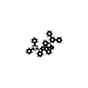 c1ccc(-c2cc(-c3ccccc3)cc(N3c4ccccc4C4(c5ccccc5-c5c4ccc4c5c5ccccc5n4-c4nc(-c5ccccc5)nc(-c5ccccc5)n4)c4ccccc43)c2)cc1